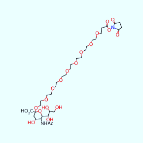 CC(=O)NC1C(O)CC(OCCOCCOCCOCCOCCOCCOCCOCCOCCC(=O)ON2C(=O)CCC2=O)(C(=O)O)OC1C(O)C(O)CO